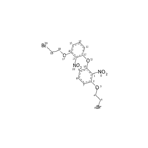 O=[N+]([O-])c1c(OCCBr)cccc1Oc1cccc(OCCBr)c1[N+](=O)[O-]